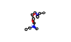 c1ccc(-c2ccc(-c3nc(-c4ccccc4)nc(-c4ccc5c(c4)oc4cc(-c6cccc7c6oc6c(-n8c9ccccc9c9cc(-c%10ccccc%10)ccc98)cccc67)ccc45)n3)cc2)cc1